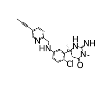 CC#Cc1ccc(CNc2ccc(Cl)c([C@]3(C)CC(=O)N(C)C(=N)N3)c2)nc1